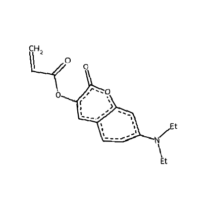 C=CC(=O)Oc1cc2ccc(N(CC)CC)cc2oc1=O